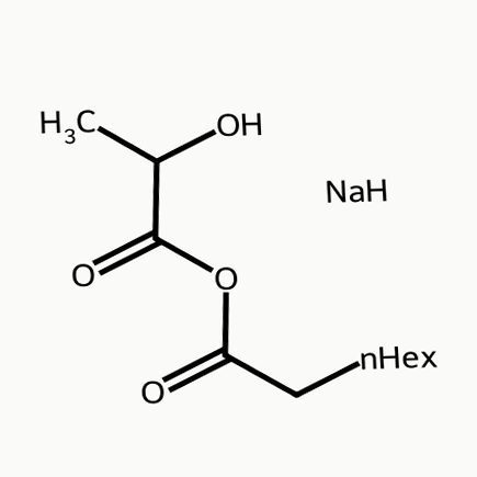 CCCCCCCC(=O)OC(=O)C(C)O.[NaH]